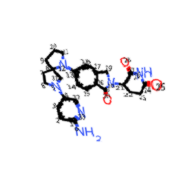 Nc1ccc(N2CCC3(CCCN3c3ccc4c(c3)CN(C3CCC(=O)NC3=O)C4=O)C2)cn1